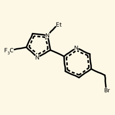 CCn1cc(C(F)(F)F)nc1-c1ccc(CBr)cn1